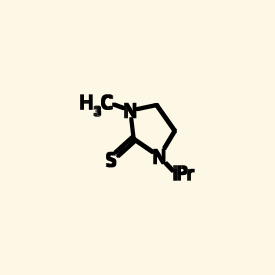 CC(C)N1CCN(C)C1=S